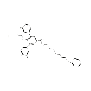 O=C(O)COc1c(-c2cccc(F)c2)cc(C(=O)NCCCCCCCCc2ccccc2)cc1-c1cccc(F)c1